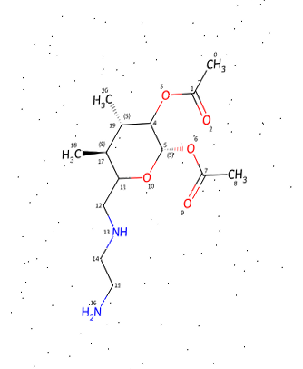 CC(=O)OC1[C@H](OC(C)=O)OC(CNCCN)[C@@H](C)[C@@H]1C